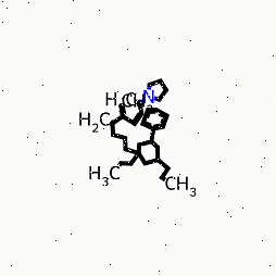 C=C(CCCC1(CCC)CC(CCC)CC(c2ccccc2)C1)C(/C=C\C(=C)N1CCCC1)=C/C